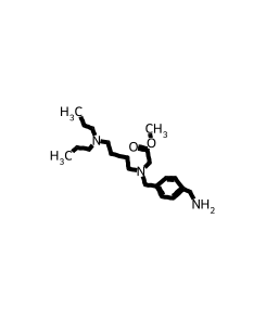 CCCN(CCC)CCCCN(CC(=O)OC)Cc1ccc(CN)cc1